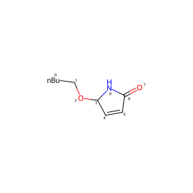 CCCCCOC1C=CC(=O)N1